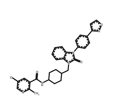 Cc1ncc(Cl)cc1C(=O)NC1CCC(Cn2c(=O)n(-c3ccc(-c4ccon4)cc3)c3ccccc32)CC1